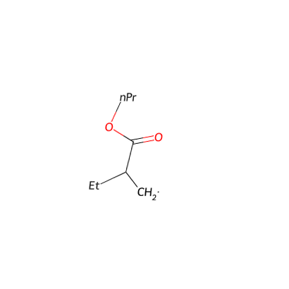 [CH2]C(CC)C(=O)OCCC